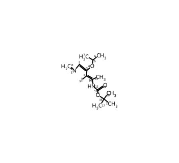 C=N/C=C(OC(C)C)\C(I)=C(/C)NC(=O)OC(C)(C)C